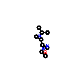 c1ccc(-c2cc(-c3ccccc3)cc(-n3c4ccccc4c4cc(-c5ccc6c(c5)c5ncccc5n6-c5cccc6c5oc5ccccc56)ccc43)c2)cc1